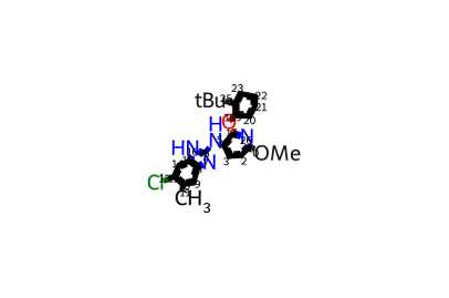 COc1ccc(Nc2nc3cc(C)c(Cl)cc3[nH]2)c(Oc2ccccc2C(C)(C)C)n1